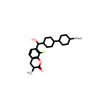 CCCCCC1CCC(C2CCC(C(O)c3ccc4c(c3F)OC(=O)C(C)C4)CC2)CC1